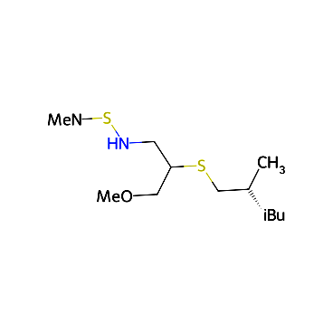 CC[C@@H](C)C(C)CSC(CNSNC)COC